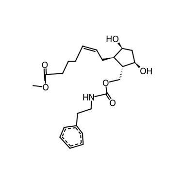 COC(=O)CCC/C=C\C[C@@H]1[C@@H](COC(=O)NCCc2ccccc2)[C@H](O)C[C@@H]1O